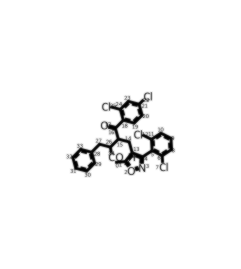 Cc1onc(-c2c(Cl)cccc2Cl)c1CC(C(=O)c1ccc(Cl)cc1Cl)C(Cc1ccccc1)C(=O)O